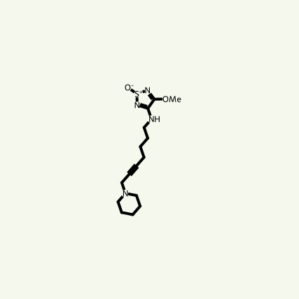 COc1n[s+]([O-])nc1NCCCCC#CCN1CCCCC1